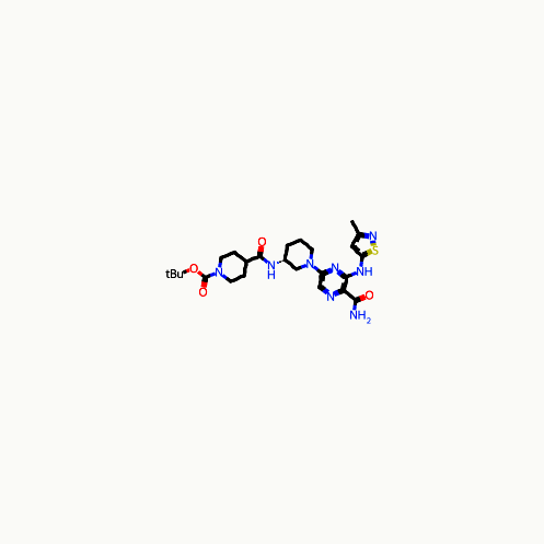 Cc1cc(Nc2nc(N3CCC[C@@H](NC(=O)C4CCN(C(=O)OC(C)(C)C)CC4)C3)cnc2C(N)=O)sn1